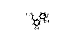 Cl.NCCc1cccc(O)c1.Oc1ccccc1